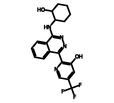 Oc1cc(C(F)(F)F)cnc1-c1nnc(NC2CCCCC2O)c2ccccc12